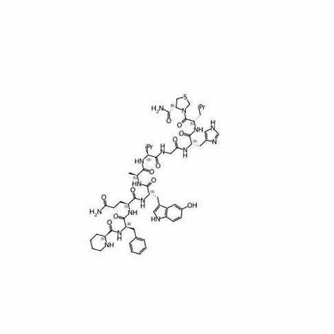 CC(C)C[C@H](NC(=O)[C@H](Cc1c[nH]cn1)NC(=O)CNC(=O)[C@@H](NC(=O)[C@H](C)NC(=O)[C@H](Cc1c[nH]c2ccc(O)cc12)NC(=O)[C@H](CCC(N)=O)NC(=O)[C@@H](Cc1ccccc1)NC(=O)[C@@H]1CCCCN1)C(C)C)C(=O)N1CSC[C@H]1C(N)=O